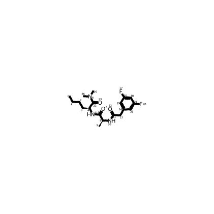 CCCC[C@H](NC(=O)[C@H](C)NC(=O)Cc1cc(F)cc(F)c1)C(=O)N(C)C